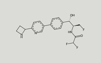 O=C(N[C@H](CF)[C@@H](O)c1ccc(-c2ccc(C3CCN3)nc2)cc1)C(F)F